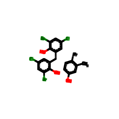 Cc1cc(O)ccc1C(C)C.Oc1c(Br)cc(Cl)cc1Cc1cc(Cl)cc(Br)c1O